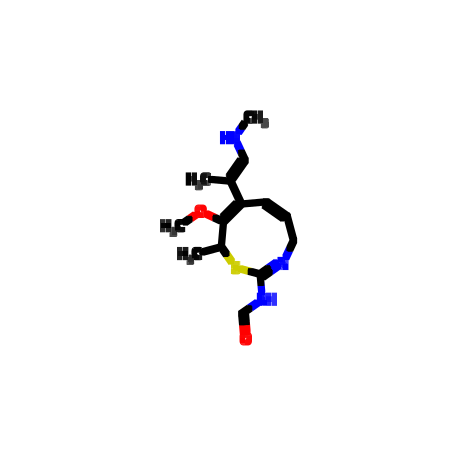 CN/C=C(C)/C1=C(\OC)C(C)S/C(NC=O)=N\C/C=C\1